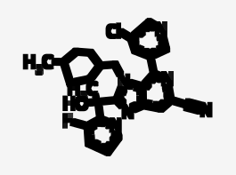 CC1CCC(Cn2c([C@@](C)(O)c3ncccc3F)nc3cc(C#N)nc(-c4cncc(Cl)c4)c32)CC1